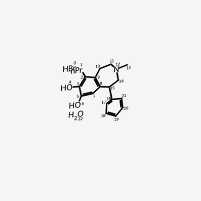 Br.CCCc1c(O)c(O)cc2c1CCN(C)CC2c1ccccc1.O